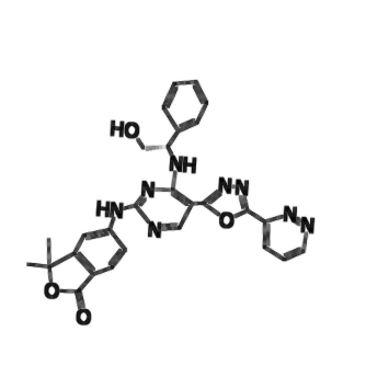 CC1(C)OC(=O)c2ccc(Nc3ncc(-c4nnc(-c5cccnn5)o4)c(N[C@H](CO)c4ccccc4)n3)cc21